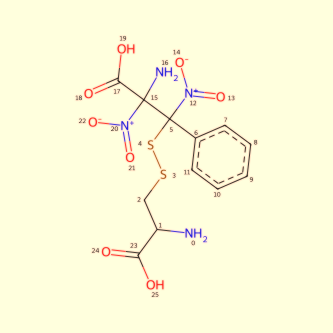 NC(CSSC(c1ccccc1)([N+](=O)[O-])C(N)(C(=O)O)[N+](=O)[O-])C(=O)O